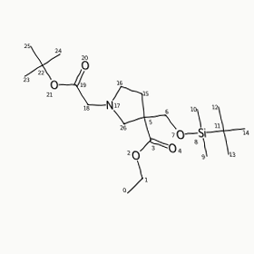 CCOC(=O)C1(CO[Si](C)(C)C(C)(C)C)CCN(CC(=O)OC(C)(C)C)C1